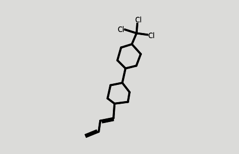 C=C/C=C/C1CCC(C2CCC(C(Cl)(Cl)Cl)CC2)CC1